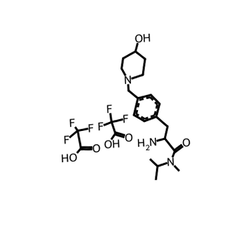 CC(C)N(C)C(=O)C(N)Cc1ccc(CN2CCC(O)CC2)cc1.O=C(O)C(F)(F)F.O=C(O)C(F)(F)F